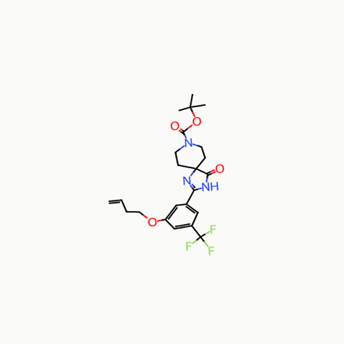 C=CCCOc1cc(C2=NC3(CCN(C(=O)OC(C)(C)C)CC3)C(=O)N2)cc(C(F)(F)F)c1